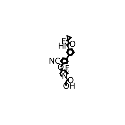 N#Cc1cc(-c2cccc(NC(=O)C3(F)CC3)c2)ccc1O[C@H]1CCN(C(=O)CO)C[C@H]1F